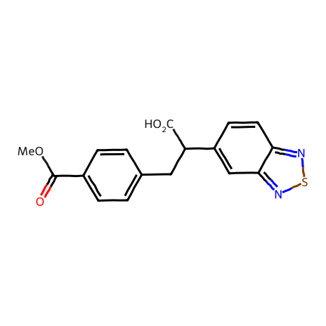 COC(=O)c1ccc(CC(C(=O)O)c2ccc3nsnc3c2)cc1